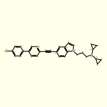 Clc1ccc(-c2ccc(C#Cc3ccc4c(ccn4CCCN(C4CC4)C4CC4)c3)nc2)cc1